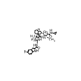 CCC[C@H](NC(=O)[C@@H]1C[C@@H]2CCCC[C@@H]2N1C(=O)[C@@H](NC(=O)CNC(=O)c1cc2cc(F)ccc2[nH]1)C(C)(C)C)C(=O)C(=O)NC1CC1